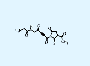 CC(=O)C1CC(=O)N(C(=O)C#CC(=O)CNC(=O)CN)C1=S